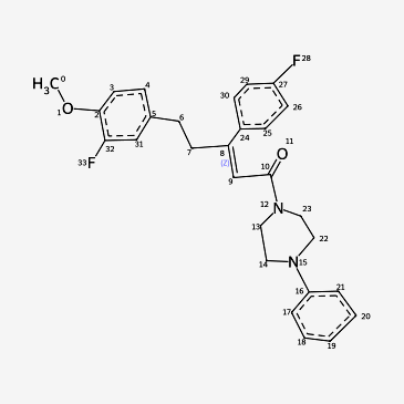 COc1ccc(CC/C(=C/C(=O)N2CCN(c3ccccc3)CC2)c2ccc(F)cc2)cc1F